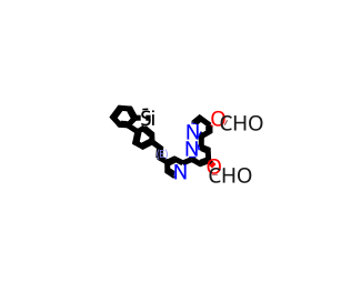 C[Si]1(C)c2ccccc2-c2ccc(/C=C/c3ccnc(-c4cc(OC=O)cc(-c5cc(OC=O)ccn5)n4)c3)cc21